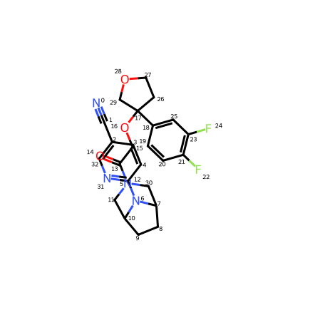 N#Cc1ccc(N2C3CCC2CN(C(=O)COC2(c4ccc(F)c(F)c4)CCOC2)C3)nc1